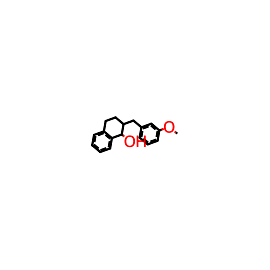 COc1cccc(CC2CCc3ccccc3C2O)c1